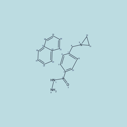 NNC(=O)c1ccc(CN2CC2)cc1.c1ccc2ccccc2c1